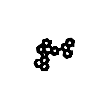 C1=Cc2cccc3cc4c(c(c23)C1)c1ccccc1n4-c1ccc(-c2cc3cccnc3c3ncccc23)cc1-c1ccccn1